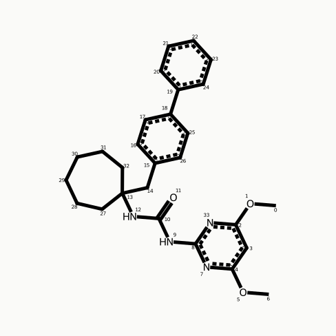 COc1cc(OC)nc(NC(=O)NC2(Cc3ccc(-c4ccccc4)cc3)CCCCCC2)n1